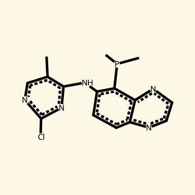 Cc1cnc(Cl)nc1Nc1ccc2nccnc2c1P(C)C